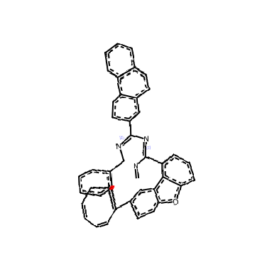 C=N/C(=N\C(=N/Cc1ccccc1)c1ccc2c(ccc3ccccc32)c1)c1cccc2oc3ccc(C4=CCC=CC=C4)cc3c12